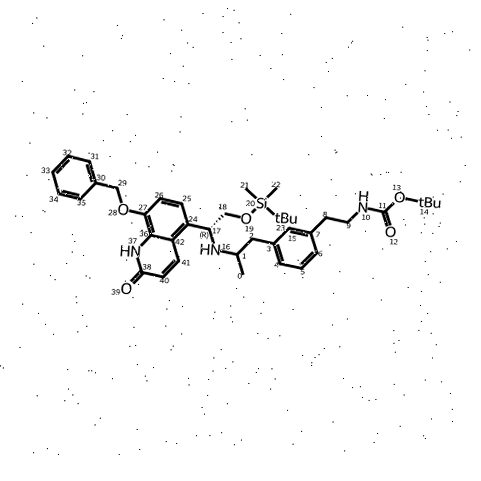 CC(Cc1cccc(CCNC(=O)OC(C)(C)C)c1)N[C@@H](CO[Si](C)(C)C(C)(C)C)c1ccc(OCc2ccccc2)c2[nH]c(=O)ccc12